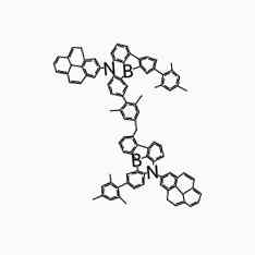 Cc1cc(C)c(-c2ccc3c(c2)B2c4cc(-c5c(C)cc(Cc6cccc7c6-c6cccc8c6B7c6cc(-c7c(C)cc(C)cc7C)ccc6N8c6cc7c8c(c6)CC=C6C=CC=C(C=C7)C68)cc5C)ccc4N(c4cc5c6c(c4)CC=C4C=CC=C(C=C5)C46)c4cccc-3c42)c(C)c1